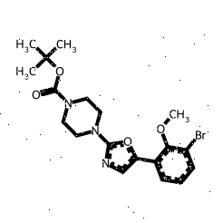 COc1c(Br)cccc1-c1cnc(N2CCN(C(=O)OC(C)(C)C)CC2)o1